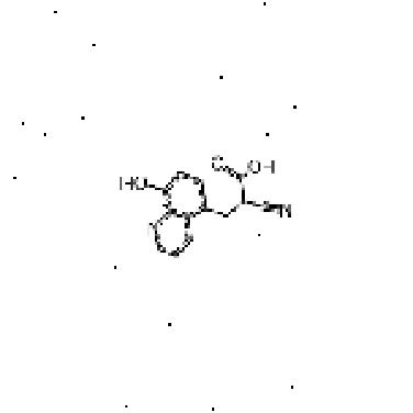 N#CC(Cc1ccc(O)c2ncccc12)C(=O)O